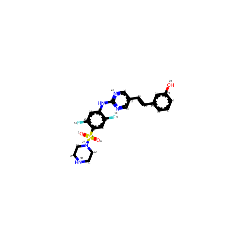 O=S(=O)(c1cc(F)c(Nc2ncc(C=Cc3cccc(O)c3)cn2)cc1F)N1CCNCC1